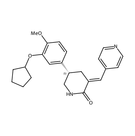 COc1ccc([C@H]2CNC(=O)C(=Cc3ccncc3)C2)cc1OC1CCCC1